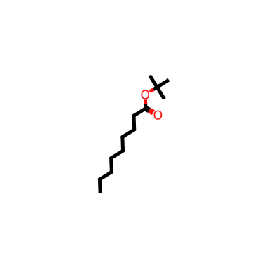 CCCCCCCCC(=O)OC(C)(C)C